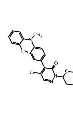 Cc1ccccc1N(C)c1ccc(-c2c(Cl)cnn(C3CCCCO3)c2=O)cc1